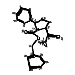 O=C(O)C1CS[C@H](c2ccccn2)N1C(=O)OCc1ccccc1